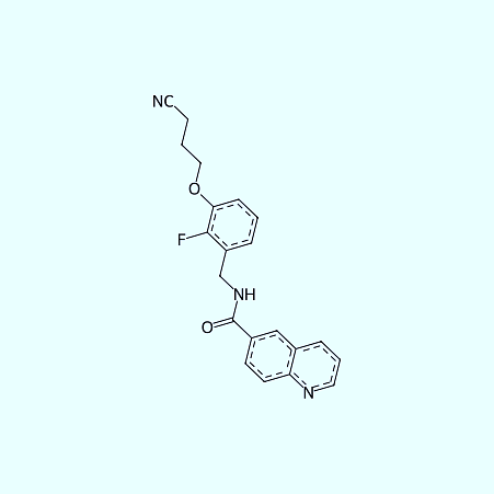 N#CCCCOc1cccc(CNC(=O)c2ccc3ncccc3c2)c1F